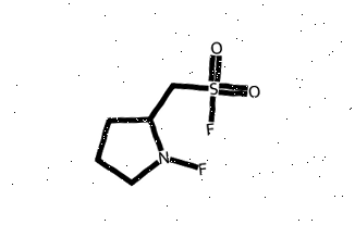 O=S(=O)(F)CC1CCCN1F